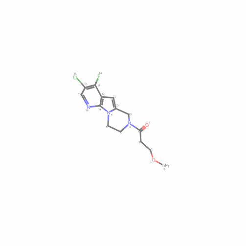 CCCOCCC(=O)N1CCn2c(cc3c(F)c(Cl)cnc32)C1